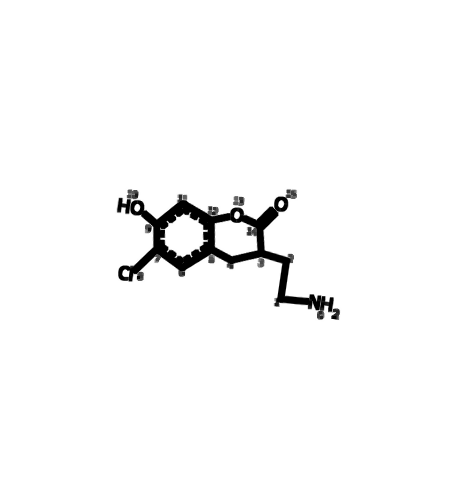 NCCC1Cc2cc(Cl)c(O)cc2OC1=O